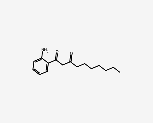 CCCCCCCC(=O)CC(=O)c1ccccc1N